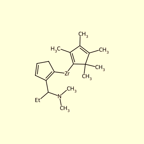 CCC(C1=[C]([Zr][C]2=C(C)C(C)=C(C)C2(C)C)CC=C1)N(C)C